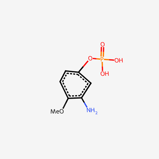 COc1ccc(OP(=O)(O)O)cc1N